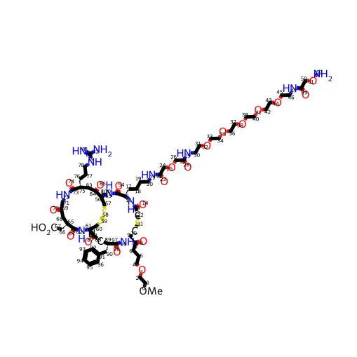 COCCOCCCC(=O)[C@@H]1CSCC(=O)N[C@@H](CCCCNC(=O)COCC(=O)NCCOCCOCCOCCOCCOCCNC(=O)CON)C(=O)N[C@H]2CSSC[C@H](NC(=O)[C@H](CC(=O)O)CC(=O)CNC(=O)[C@H](CCCNC(=N)N)CC2=O)C(=O)C[C@@H](Cc2ccccc2)C(=O)N1